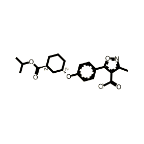 Cc1noc(-c2ccc(O[C@H]3CCC[C@H](C(=O)OC(C)C)C3)cc2)c1C(=O)Cl